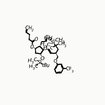 C=CCCC(=O)O[C@H]1C[C@@H](O[Si](C)(C)C(C)(C)C)[C@H](/C=C/[C@H](COc2cccc(C(F)(F)F)c2)CC(C)(C)[Si](C)(C)O)[C@H]1CC=C